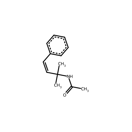 CC(=O)NC(C)(C)/C=C\c1ccccc1